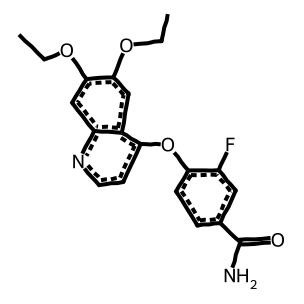 CCOc1cc2nccc(Oc3ccc(C(N)=O)cc3F)c2cc1OCC